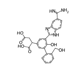 N=C(N)c1ccc2[nH]c(-c3cc(C(CC(=O)O)C(=O)O)cc(-c4ccccc4CO)c3O)nc2c1